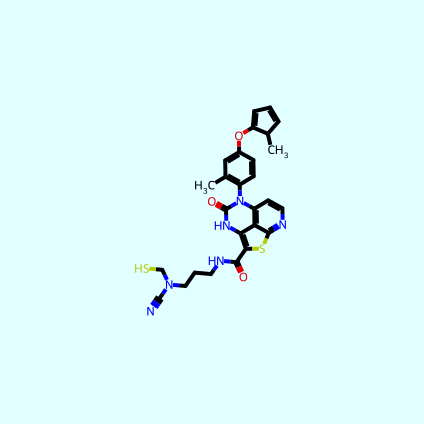 Cc1cc(OC2=CC=CC2C)ccc1N1C(=O)Nc2c(C(=O)NCCCN(C#N)CS)sc3nccc1c23